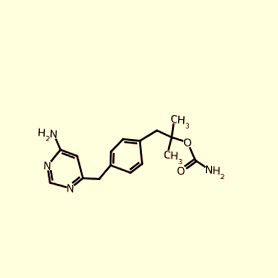 CC(C)(Cc1ccc(Cc2cc(N)ncn2)cc1)OC(N)=O